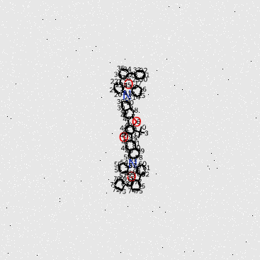 CC(C)(C)c1c2oc3cc4cc(N(c5ccccc5)c5cccc6c5oc5c(-c7ccccc7)cccc56)ccc4cc3c2cc2oc3cc4cc(N(c5ccccc5)c5cccc6c5oc5c(-c7ccccc7)cccc56)ccc4cc3c12